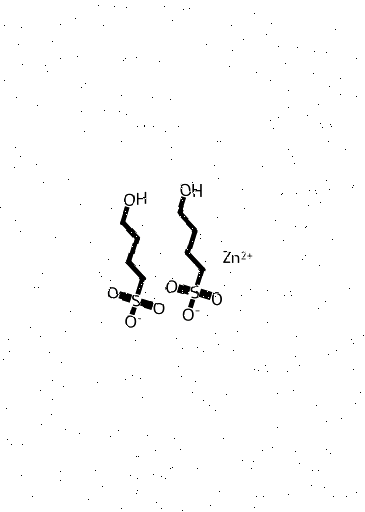 O=S(=O)([O-])CCCCO.O=S(=O)([O-])CCCCO.[Zn+2]